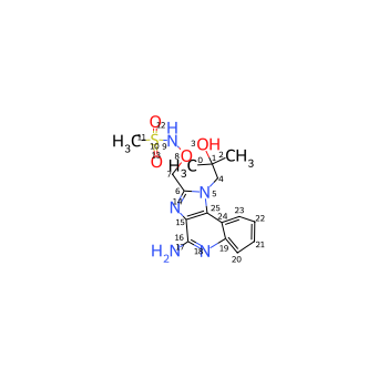 CC(C)(O)Cn1c(CONS(C)(=O)=O)nc2c(N)nc3ccccc3c21